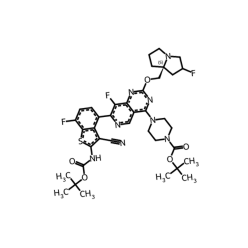 CC(C)(C)OC(=O)Nc1sc2c(F)ccc(-c3ncc4c(N5CCN(C(=O)OC(C)(C)C)CC5)nc(OC[C@@]56CCCN5CC(F)C6)nc4c3F)c2c1C#N